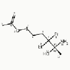 C=C(C)OSCCC(CC)(CC)[C@](C)(N)O